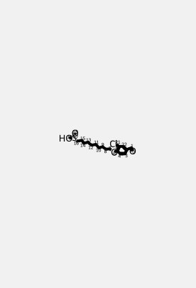 O=Cc1ccc(OCCCCCCCCCCS(=O)O)c(Cl)c1